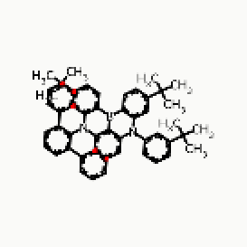 CC(C)(C)c1cccc(N2c3cc(C(C)(C)C)ccc3B3c4ccc(C(C)(C)C)cc4N(c4c(-c5ccccc5)cccc4-c4ccccc4)c4cccc2c43)c1